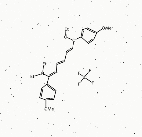 CCO[C+](C=CC=CC=C(c1ccc(OC)cc1)N(CC)CC)c1ccc(OC)cc1.F[B-](F)(F)F